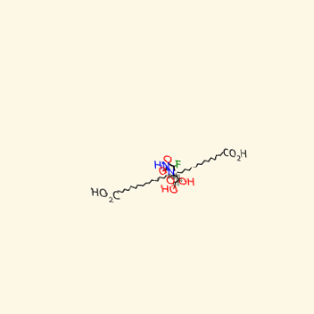 O=C(O)CCCCCCCCCCCCCCC[C@@H]1[C@H](O)[C@@H](CO)O[C@@]1(CCCCCCCCCCCCCCCC(=O)O)n1cc(F)c(=O)[nH]c1=O